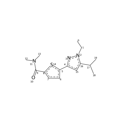 CCn1nc(-c2ccc(C(=O)N(C)C)s2)cc1C(C)C